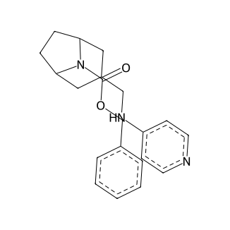 O=C(OCc1ccccc1)N1C2CCC1CC(CNc1ccncc1)C2